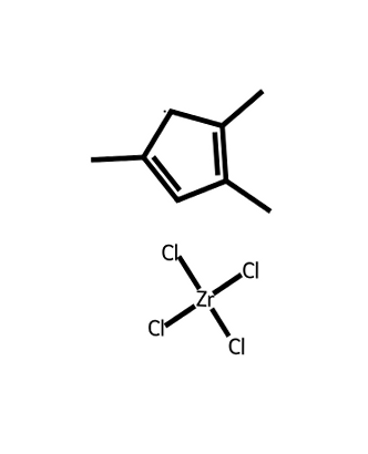 CC1=CC(C)=C(C)[CH]1.[Cl][Zr]([Cl])([Cl])[Cl]